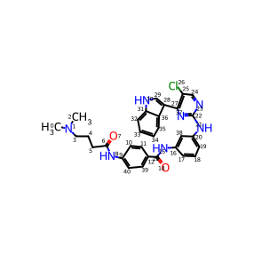 CN(C)CCCC(=O)Nc1ccc(C(=O)Nc2cccc(Nc3ncc(Cl)c(-c4c[nH]c5ccccc45)n3)c2)cc1